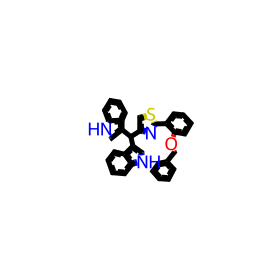 c1ccc(COc2ccccc2-c2nc(C(c3c[nH]c4ccccc34)c3c[nH]c4ccccc34)cs2)cc1